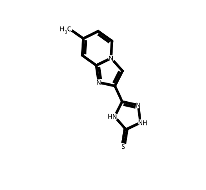 Cc1ccn2cc(-c3n[nH]c(=S)[nH]3)nc2c1